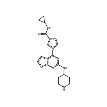 O=C(NC1CC1)c1ccn(-c2nc(NC3CCNCC3)nc3sccc23)c1